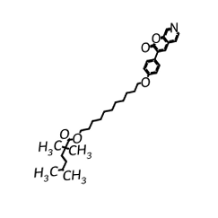 CC(C)CCC(C)(C)C(=O)OCCCCCCCCCCCOc1ccc(-c2cc3ccncc3oc2=O)cc1